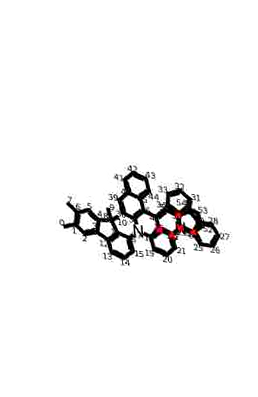 Cc1cc2c(cc1C)C(C)(C)c1c-2cccc1N(c1cccc(-n2c3ccccc3c3ccccc32)c1)c1ccc2ccccc2c1-c1ccc2ccccc2c1